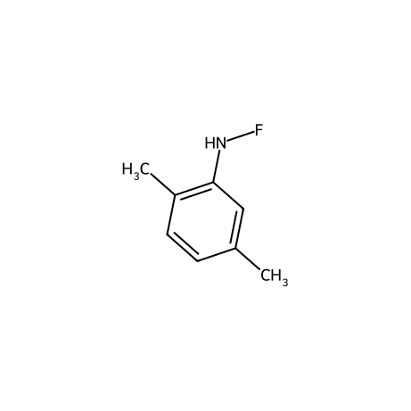 Cc1ccc(C)c(NF)c1